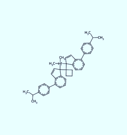 CC(C)c1ccc(-c2cccc3c2C=C[C]32C3(CCC3)[C]3(C=Cc4c(-c5ccc(C(C)C)cc5)cccc43)[Hf]2([CH3])[CH3])cc1